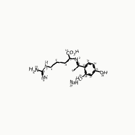 C/C(=N\C(CCCNC(=N)N)C(=O)O)c1ccc(O)cc1O.[NaH]